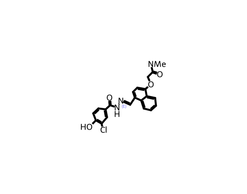 CNC(=O)COc1ccc(/C=N/NC(=O)c2ccc(O)c(Cl)c2)c2ccccc12